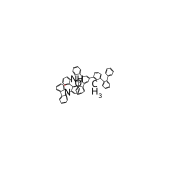 Cc1c(-c2cc(-c3ccccc3Nc3ccccc3-c3ccccc3-n3c4ccccc4c4ccccc43)c3oc4ccccc4c3c2)cccc1-c1ccccc1-c1ccccc1